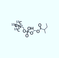 CCC(C)C(=O)OCOP(=O)(O)OC[15N+]([13CH3])([13CH3])[13CH3]